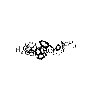 CCOC(=O)C(O)(Cc1cccc(-c2cc(C(C)(C)S(C)(=O)=O)cc3cccnc23)c1)c1ccc(S(C)(=O)=O)cc1